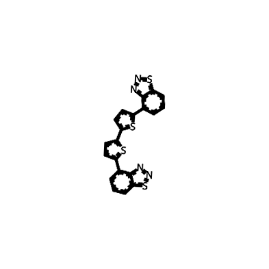 c1cc(-c2ccc(-c3ccc(-c4cccc5snnc45)s3)s2)c2nnsc2c1